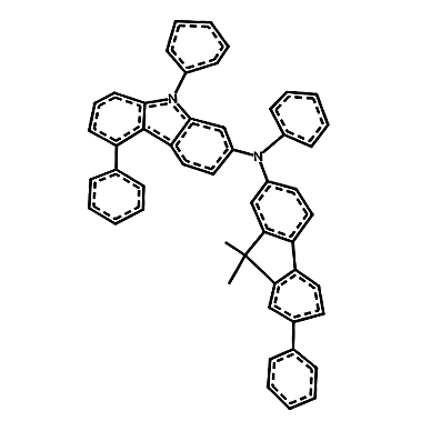 CC1(C)c2cc(-c3ccccc3)ccc2-c2ccc(N(c3ccccc3)c3ccc4c5c(-c6ccccc6)cccc5n(-c5ccccc5)c4c3)cc21